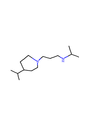 CC(C)NCCCN1CCC(C(C)C)CC1